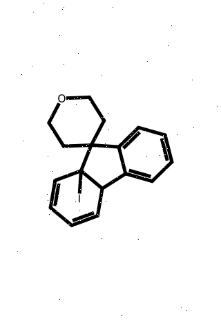 IC12C=CC=CC1c1ccccc1C21CCOCC1